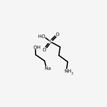 NCCCS(=O)(=O)O.OC[CH2][Na]